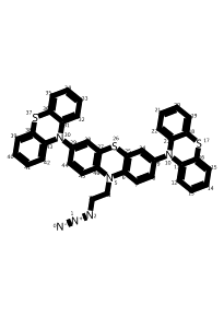 [N-]=[N+]=NCCN1c2ccc(N3c4ccccc4Sc4ccccc43)cc2Sc2cc(N3c4ccccc4Sc4ccccc43)ccc21